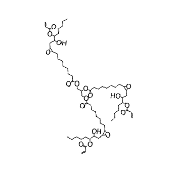 C=CC(=O)OC(CCCCC)C(O)CC1OC1CCCCCCCC(=O)OCC(COC(=O)CCCCCCCC1OC1CC(O)C(CCCCC)OC(=O)C=C)OC(=O)CCCCCCCC1OC1CC(O)C(CCCCC)OC(=O)C=C